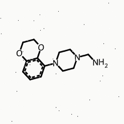 NCN1CCN(c2cccc3c2OCCO3)CC1